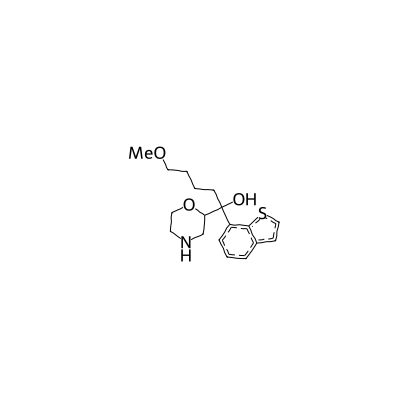 COCCCCC(O)(c1cccc2ccsc12)C1CNCCO1